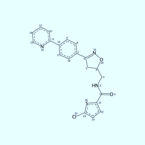 O=C(NCC1CC(c2ccc(-c3ccccn3)cc2)=NO1)c1ccc(Cl)s1